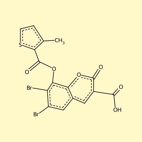 Cc1ccsc1C(=O)Oc1c(Br)c(Br)cc2cc(C(=O)O)c(=O)oc12